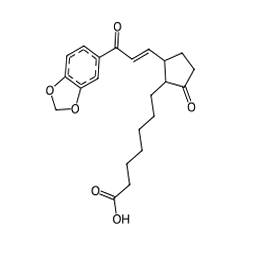 O=C(O)CCCCCCC1C(=O)CCC1C=CC(=O)c1ccc2c(c1)OCO2